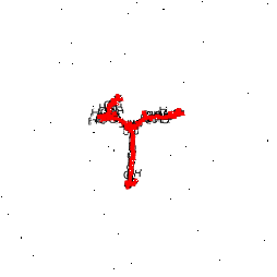 COC(=O)C(O)(CC(O)C(CC(O)C(O)CNC(=O)c1ccc(-c2ccccc2)cc1)NC(C)=O)OCCCSCCNC(=O)c1ccc(C(=O)NCCSCCCOC2(C(=O)OC)CC(O)C(NC(C)=O)C(C(O)C(O)CNC(=O)c3ccc(-c4ccccc4)cc3)O2)cc1OCCOCCOCCOCCOCCOCCNC(=O)OCC1c2ccccc2-c2ccccc21